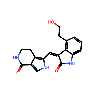 O=C1Nc2cccc(CCO)c2/C1=C/c1[nH]cc2c1CCNC2=O